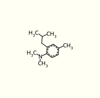 Cc1ccc(N(C)C)c(CC(C)C)c1